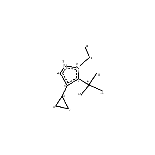 CCn1ncc(C2CC2)c1C(C)(C)C